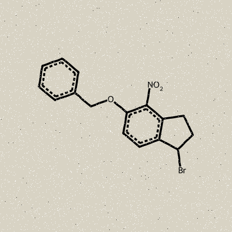 O=[N+]([O-])c1c(OCc2ccccc2)ccc2c1CCC2Br